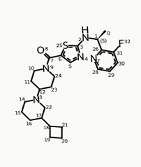 C[C@H](Nc1ncc(C(=O)N2CCC(N3CCCC(C4CCC4)C3)CC2)s1)c1ncccc1F